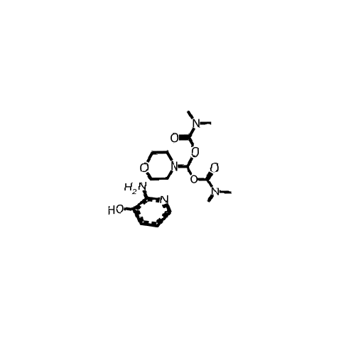 CN(C)C(=O)OC(OC(=O)N(C)C)N1CCOCC1.Nc1ncccc1O